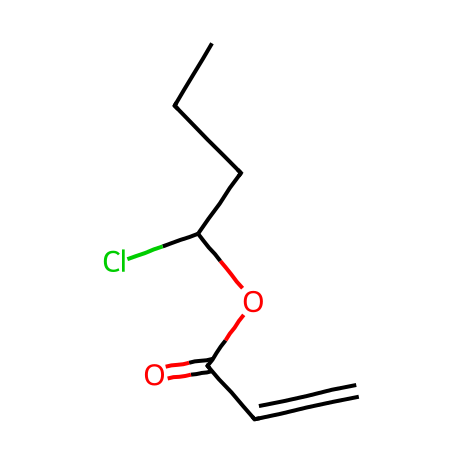 C=CC(=O)OC(Cl)CCC